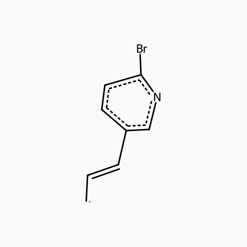 [CH2]/C=C/c1ccc(Br)nc1